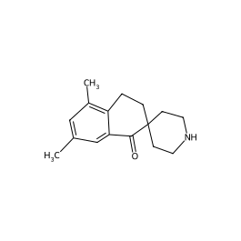 Cc1cc(C)c2c(c1)C(=O)C1(CCNCC1)CC2